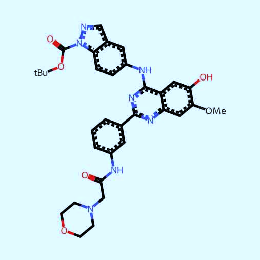 COc1cc2nc(-c3cccc(NC(=O)CN4CCOCC4)c3)nc(Nc3ccc4c(cnn4C(=O)OC(C)(C)C)c3)c2cc1O